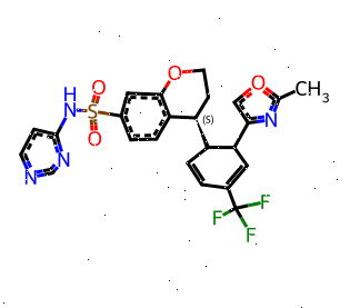 Cc1nc(C2C=C(C(F)(F)F)C=CC2[C@@H]2CCOc3cc(S(=O)(=O)Nc4ccncn4)ccc32)co1